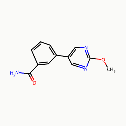 COc1ncc(-c2cccc(C(N)=O)c2)cn1